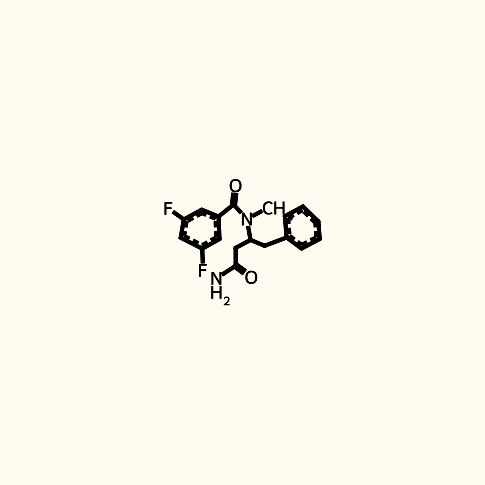 CN(C(=O)c1cc(F)cc(F)c1)C(CC(N)=O)Cc1ccccc1